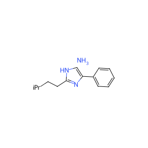 CC(C)CCc1nc(-c2ccccc2)c[nH]1.N